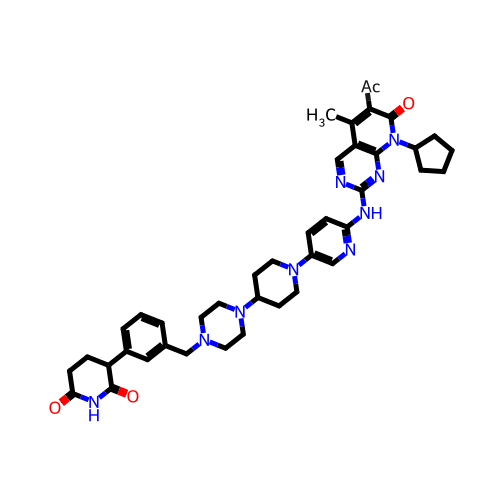 CC(=O)c1c(C)c2cnc(Nc3ccc(N4CCC(N5CCN(Cc6cccc(C7CCC(=O)NC7=O)c6)CC5)CC4)cn3)nc2n(C2CCCC2)c1=O